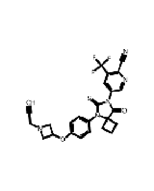 C#CCN1CC(Oc2ccc(N3C(=S)N(c4cnc(C#N)c(C(F)(F)F)c4)C(=O)C34CCC4)cc2)C1